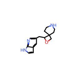 c1cc2cc(CC3OCC34CCNCC4)cnc2[nH]1